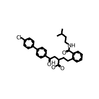 CC(C)CCNC(=O)c1ccccc1CCC(CC(=O)c1ccc(-c2ccc(Cl)cc2)cc1)C(=O)O